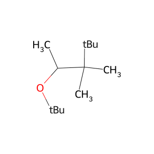 CC(OC(C)(C)C)C(C)(C)C(C)(C)C